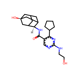 O=C(N[C@H]1C2CC3CC1C[C@@](O)(C3)C2)c1cnc(NCCO)nc1C1CCCC1